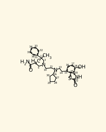 CC(C)(CN(CCC(N)=O)CCN(CCc1ccc(O)c2[nH]c(=O)sc12)C1CCCC1)c1ccccc1